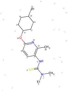 CCN(C)C(=S)Nc1ccc(OC2CCC(C(C)C)CC2)nc1C